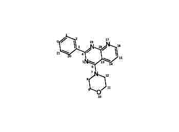 c1ccc(-c2nc(N3CCOCC3)c3cccnc3n2)cc1